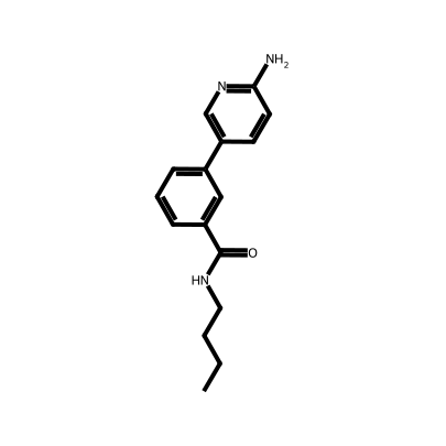 CCCCNC(=O)c1cccc(-c2ccc(N)nc2)c1